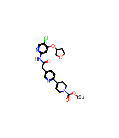 CC(C)(C)OC(=O)N1CC=C(c2ccc(CC(=O)Nc3cc(OC4CCOC4)c(Cl)cn3)cn2)CC1